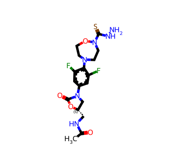 CC(=O)NC[C@H]1CN(c2cc(F)c(N3CCON(C(=S)NN)CC3)c(F)c2)C(=O)O1